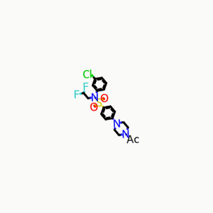 CC(=O)N1CCN(c2ccc(S(=O)(=O)N(CC(F)F)c3cccc(Cl)c3)cc2)CC1